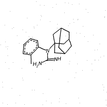 Cc1ccccc1N(C(=N)N)C12CC3CC(CC(C3)C1)C2